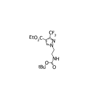 CCOC(=O)c1cn(CCNC(=O)OC(C)(C)C)nc1C(F)(F)F